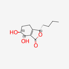 CCCC[C@@H]1OC(=O)C2=C1CC[C@H](O)[C@H]2O